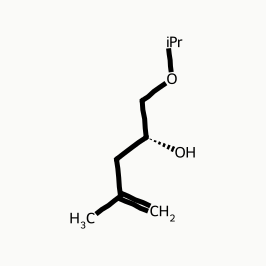 C=C(C)C[C@@H](O)COC(C)C